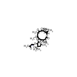 CO[C@@]1(C)C[C@@H](C)C(=O)[C@H](C)[C@@H](O)[C@@]2(O)C(C)[C@H]2OC(=O)[C@H](C)[C@@H](O)[C@H](C)[C@H]1O[C@@H]1O[C@H](C)C[C@H](N(C)C)[C@H]1O/C=C/C(C)=O